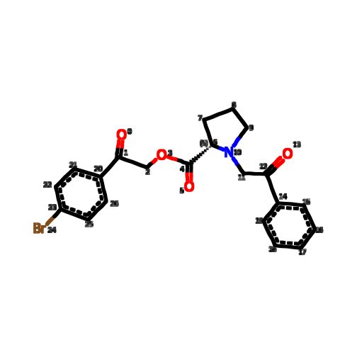 O=C(COC(=O)[C@@H]1CCCN1CC(=O)c1ccccc1)c1ccc(Br)cc1